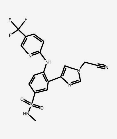 CNS(=O)(=O)c1ccc(Nc2ccc(C(F)(F)F)cn2)c(-c2cn(CC#N)cn2)c1